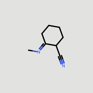 CN=C1CCCCC1C#N